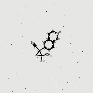 CC1(C)CC1(C#N)c1ccc2cnccc2c1